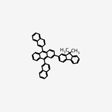 CC1(C)c2ccccc2-c2ccc(-c3ccc4c(-c5ccc6ccccc6c5)c5ccccc5c(-c5ccc6ccccc6c5)c4c3)cc21